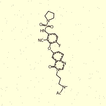 CC(=O)N(C)CCCn1cnc2ccc(Oc3c(F)ccc(NS(=O)(=O)N4CCCC4)c3C#N)cc2c1=O